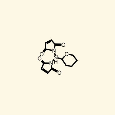 O=C1C=CC(=O)N1[SiH](C1CCCCO1)N1C(=O)C=CC1=O